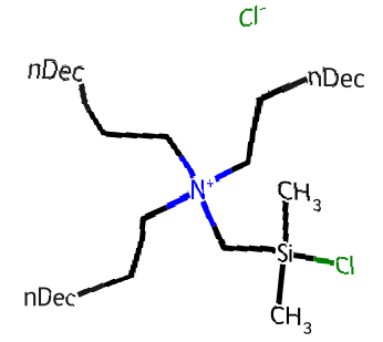 CCCCCCCCCCCC[N+](CCCCCCCCCCCC)(CCCCCCCCCCCC)C[Si](C)(C)Cl.[Cl-]